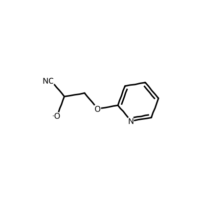 N#CC([O])COc1ccccn1